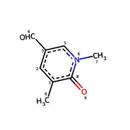 Cc1cc(C=O)cn(C)c1=O